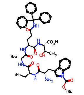 CC[C@H](C)[C@H](NC(=O)[C@H](CC(C)C)NC(=O)[C@@H](N)Cc1cn(C(=O)OC(C)(C)C)c2ccccc12)C(=O)N[C@@H](CCC(=O)NC(c1ccccc1)(c1ccccc1)c1ccccc1)C(=O)N[C@H](C(=O)O)[C@@H](C)O